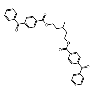 CC(CCOC(=O)c1ccc(C(=O)c2ccccc2)cc1)CCOC(=O)c1ccc(C(=O)c2ccccc2)cc1